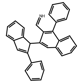 N=Cc1c(C2C(c3ccccc3)=Cc3ccccc32)cc2ccccc2c1-c1ccccc1